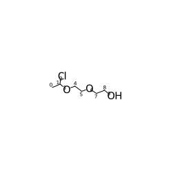 CC(Cl)OCCOCCO